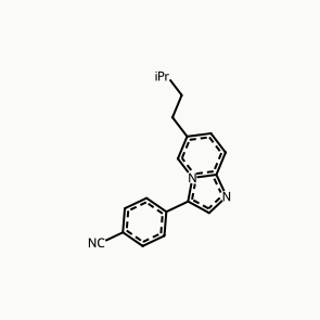 CC(C)CCc1ccc2ncc(-c3ccc(C#N)cc3)n2c1